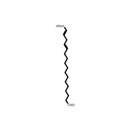 CCCCCC=CCC=CCCCCCCCCCCC[C]=O